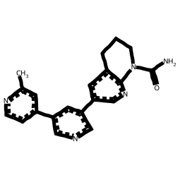 Cc1cc(-c2cncc(-c3cnc4c(c3)CCCN4C(N)=O)c2)ccn1